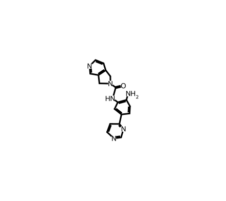 Nc1ccc(-c2ccncn2)cc1NC(=O)N1Cc2ccncc2C1